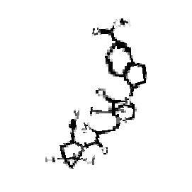 N#CC1C[C@@H]2C[C@@H]2N1C(=O)C(N)CN1CC2C[C@H]1C(=O)N2C1CCc2cc(C(=O)O)ccc21